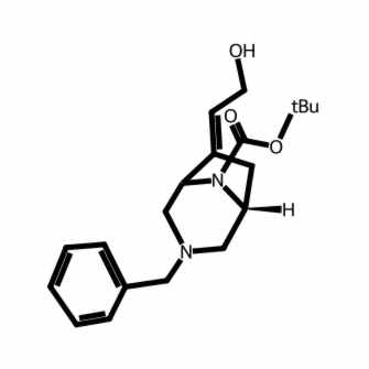 CC(C)(C)OC(=O)N1C2CN(Cc3ccccc3)C[C@H]1C/C2=C\CO